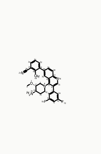 CO[C@@H]1CN(c2c(-c3cc(F)cc(F)c3)cnc3ccc(-c4cccc(C#N)c4O)cc23)CC[C@H]1N